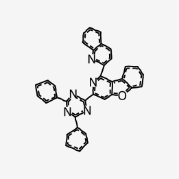 c1ccc(-c2nc(-c3ccccc3)nc(-c3cc4oc5ccccc5c4c(-c4ccc5ccccc5n4)n3)n2)cc1